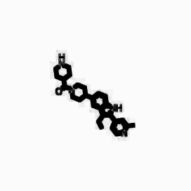 CCc1c(-c2ccnc(C)c2)[nH]c2ccc(C3CCN(C(=O)C4CCNCC4)CC3)cc12